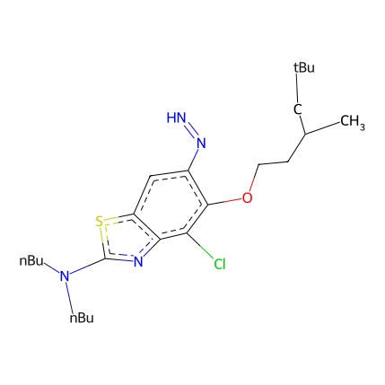 CCCCN(CCCC)c1nc2c(Cl)c(OCCC(C)CC(C)(C)C)c(N=N)cc2s1